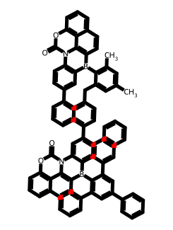 Cc1cc(C)c(B2c3cc(-c4ccccc4)ccc3N3C(=O)Oc4cccc5ccc2c3c45)c(Cc2ccc(-c3cc4c(cc3-c3ccccc3)B(c3c(-c5ccccc5)cc(-c5ccccc5)cc3-c3ccccc3)c3ccc5cccc6c5c3N4C(=O)O6)cc2)c1